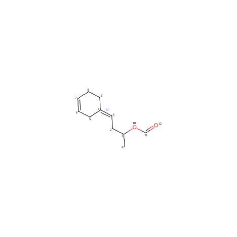 CC(C/C=C1\CC=CCC1)OC=O